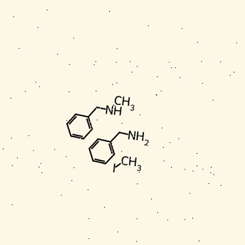 CI.CNCc1ccccc1.NCc1ccccc1